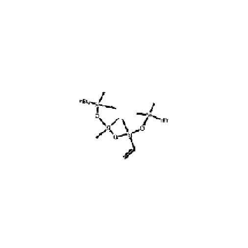 C=C[Si](C)(O[Si](C)(C)CCC)O[Si](C)(C)O[Si](C)(C)CCCC